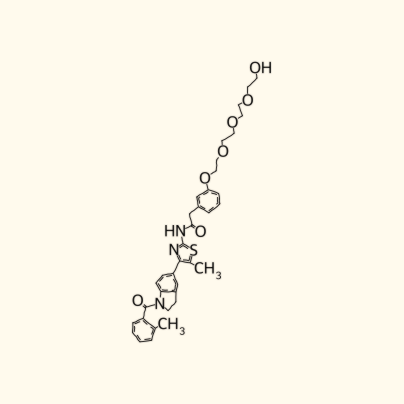 Cc1ccccc1C(=O)N1CCc2cc(-c3nc(NC(=O)Cc4cccc(OCCOCCOCCOCCO)c4)sc3C)ccc21